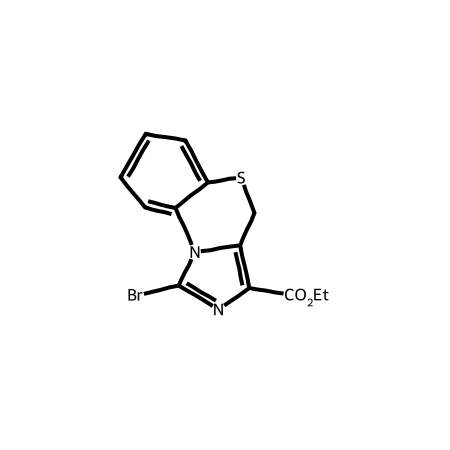 CCOC(=O)c1nc(Br)n2c1CSc1ccccc1-2